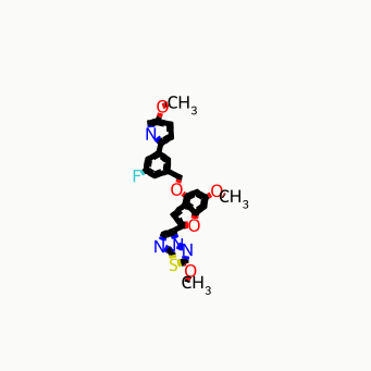 COc1ccc(-c2cc(F)cc(COc3cc(OC)cc4oc(-c5cnc6sc(OC)nn56)cc34)c2)nc1